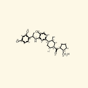 CC(Nc1nc(N2C[C@@H](C)N(C(=O)[C@H]3CCCN3C(=O)O)C[C@@H]2C)ncc1Cl)c1ccc(Cl)cc1Cl